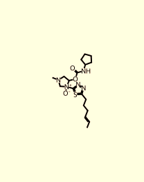 CC=CCCCc1nnc([N+]2([O-])CN(C)CC2OC(=O)NC2CCCC2)s1